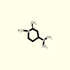 C[C@H]1CC(N(C)C)CCN1C